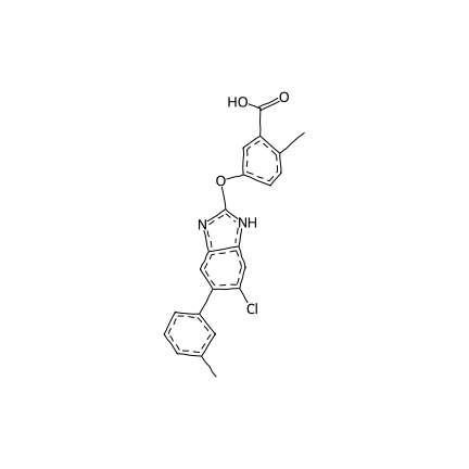 Cc1cccc(-c2cc3nc(Oc4ccc(C)c(C(=O)O)c4)[nH]c3cc2Cl)c1